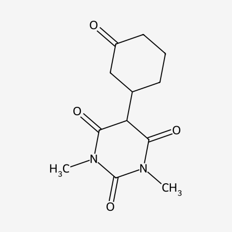 CN1C(=O)C(C2CCCC(=O)C2)C(=O)N(C)C1=O